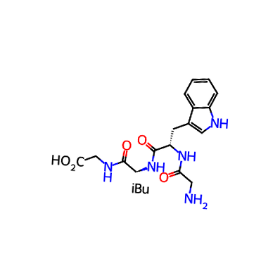 CC[C@H](C)[C@H](NC(=O)[C@H](Cc1c[nH]c2ccccc12)NC(=O)CN)C(=O)NCC(=O)O